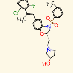 C/C(=C\c1ccc2c(c1)N(S(=O)(=O)c1cccc(C(F)(F)F)c1)C[C@H](CCN1CCC(O)C1)O2)c1c(F)cccc1Cl